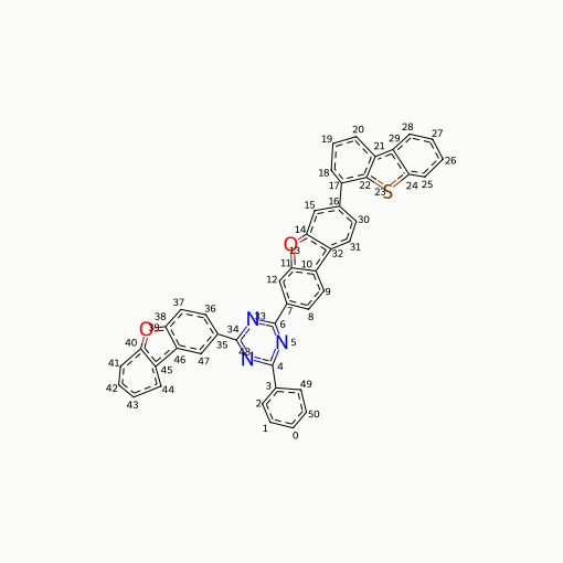 c1ccc(-c2nc(-c3ccc4c(c3)oc3cc(-c5cccc6c5sc5ccccc56)ccc34)nc(-c3ccc4oc5ccccc5c4c3)n2)cc1